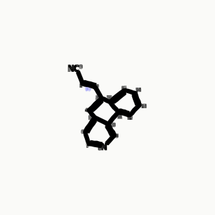 N#C/C=C/c1cc2ccncc2c2ccccc12